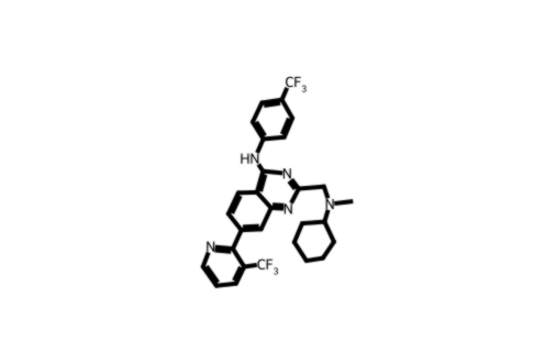 CN(Cc1nc(Nc2ccc(C(F)(F)F)cc2)c2ccc(-c3ncccc3C(F)(F)F)cc2n1)C1CCCCC1